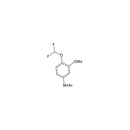 COc1cc(NC(C)=O)ccc1OC(F)F